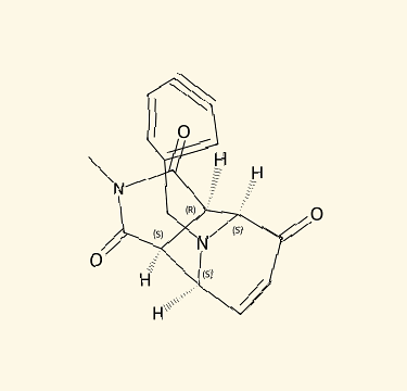 CN1C(=O)[C@@H]2[C@H](C1=O)[C@@H]1C=CC(=O)[C@H]2N1Cc1cc#ccc1